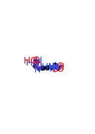 COC(=O)N[C@H](C(=O)N1CCCC1c1ncc(-c2ccc(-c3ccc(-c4cnc([C@@H]5CCCN5C(=O)[C@H](NC(=O)O)C(C)C)[nH]4)cc3)cc2)[nH]1)C(C)C